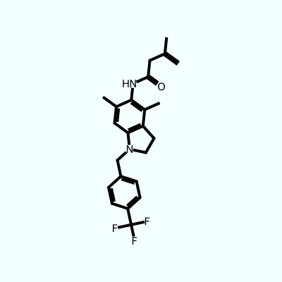 C=C(C)CC(=O)Nc1c(C)cc2c(c1C)CCN2Cc1ccc(C(F)(F)F)cc1